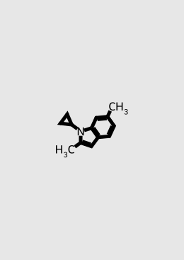 Cc1ccc2cc(C)n(C3CC3)c2c1